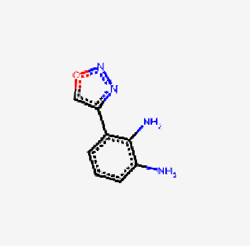 Nc1cccc(-c2conn2)c1N